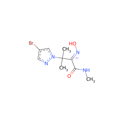 CNC(=O)/C(=N/O)C(C)(C)n1cc(Br)cn1